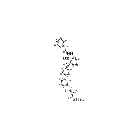 CCCCCCC(C)C(=O)NCc1cccc(-c2ccc(Nc3ccccc3C(=O)NCCN3CCOCC3)cc2)c1